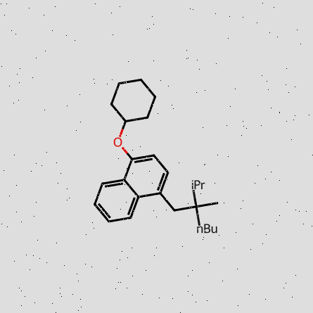 CCCCC(C)(Cc1ccc(OC2CCCCC2)c2ccccc12)C(C)C